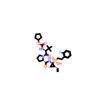 C=C[C@@H]1C[C@]1(NC(=O)[C@@H]1CCCN1C(=O)[C@@H](NC(=O)OC1CCCC1)C(C)(C)C)P(=O)(O)CCc1ccccc1F